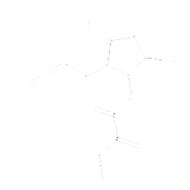 C=C(CC)C(=O)OC1C(O)CC(O)C1CC=C=O